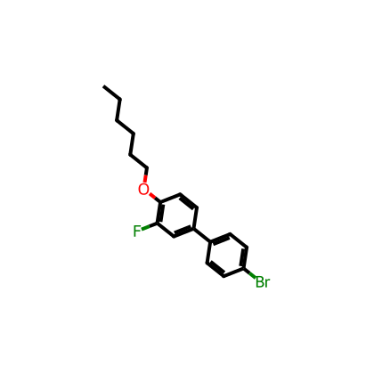 CCCCCCOc1ccc(-c2ccc(Br)cc2)cc1F